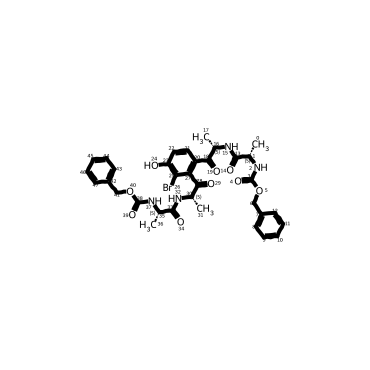 C[C@H](NC(=O)OCc1ccccc1)C(=O)N[C@@H](C)C(=O)c1ccc(O)c(Br)c1C(=O)[C@H](C)NC(=O)[C@H](C)NC(=O)OCc1ccccc1